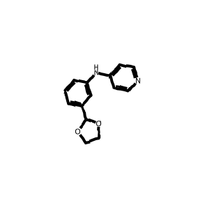 c1cc(Nc2ccncc2)cc(C2OCCO2)c1